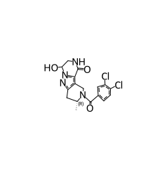 C[C@@H]1Cc2nn3c(c2CN1C(=O)c1ccc(Cl)c(Cl)c1)C(=O)NCC3O